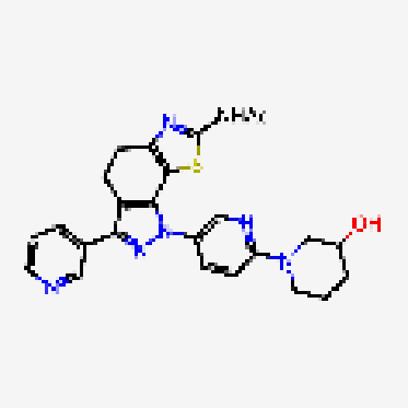 CC(=O)Nc1nc2c(s1)-c1c(c(-c3cccnc3)nn1-c1ccc(N3CCCC(O)C3)nc1)CC2